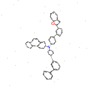 c1ccc(-c2cccc(-c3ccc(N(c4ccc(-c5cccc(-c6cc7ccccc7o6)c5)cc4)c4ccc5c(ccc6ccccc65)c4)cc3)c2)cc1